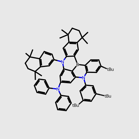 CC(C)(C)c1cc(N2c3cc(C(C)(C)C)ccc3B3c4cc5c(cc4N(c4ccc6c(c4)C(C)(C)CCC6(C)C)c4cc(N(c6ccccc6)c6ccccc6)cc2c43)C(C)(C)CCC5(C)C)cc(C(C)(C)C)c1